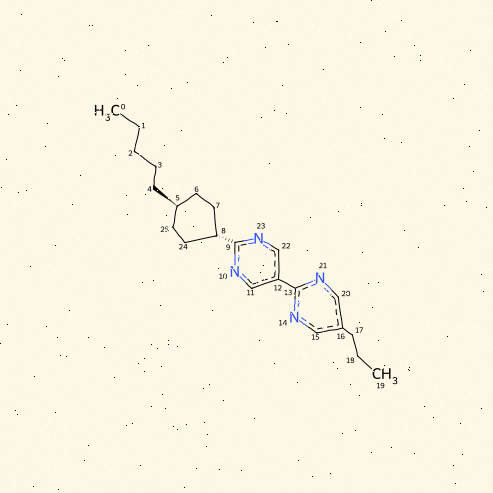 CCCCC[C@H]1CC[C@H](c2ncc(-c3ncc(CCC)cn3)cn2)CC1